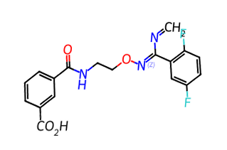 C=N/C(=N\OCCNC(=O)c1cccc(C(=O)O)c1)c1cc(F)ccc1F